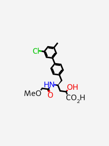 COCC(=O)N[C@@H](Cc1ccc(-c2cc(C)cc(Cl)c2)cc1)CC(O)C(=O)O